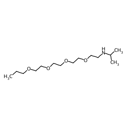 CCCOCCOCCOCCOCCNC(C)C